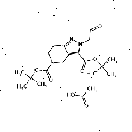 CC(=O)O.CC(C)(C)OC(=O)c1c2c(nn1CC=O)CCN(C(=O)OC(C)(C)C)C2